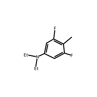 CCN(CC)c1cc(F)c(C)c(F)c1